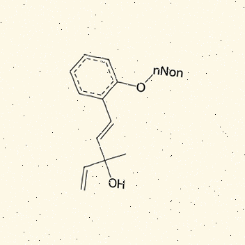 C=CC(C)(O)/C=C/c1ccccc1OCCCCCCCCC